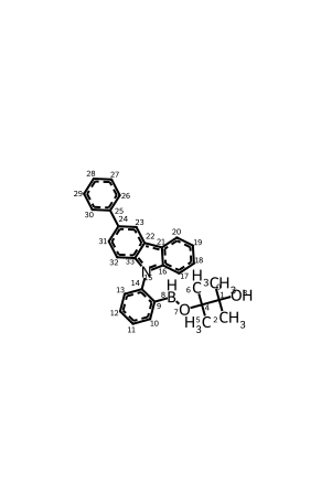 CC(C)(O)C(C)(C)OBc1ccccc1-n1c2ccccc2c2cc(-c3ccccc3)ccc21